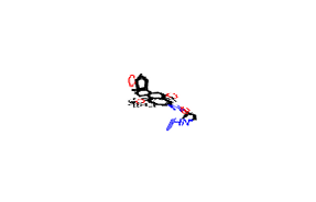 CC(C)(C)[Si](C)(C)OC[C@]12CC/C(=N/O[C@H]3CCNC3)C[C@@H]1C(=O)CC1C2CC[C@]2(C)C(=O)CCC12